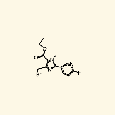 CCOC(=O)c1c(CBr)nc(-c2ccc(F)nc2)n1C